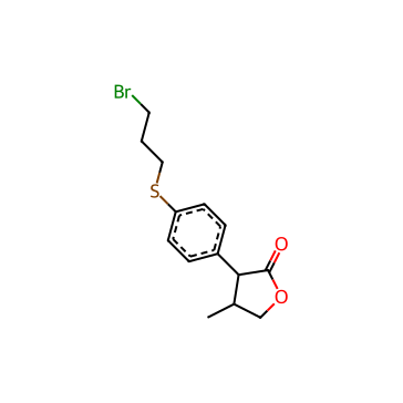 CC1COC(=O)C1c1ccc(SCCCBr)cc1